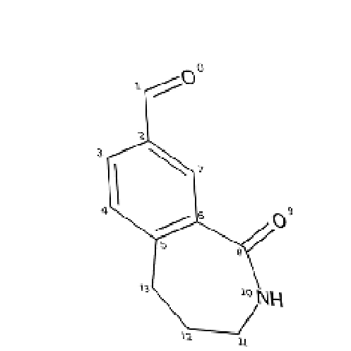 O=Cc1ccc2c(c1)C(=O)NCCC2